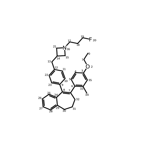 CCOc1ccc(C2=C(c3ccc(CC4CN(CCCF)C4)cc3)c3ccccc3CCC2)c(C)c1